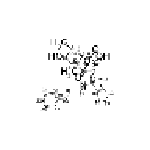 C[C@H]1C=C2C(=O)C=C3C4=C(C5=C(CCC5)C4)N(CCSc4ccccc4)O[C@]3(C(=O)CO)[C@@]2(C)C[C@@H]1O